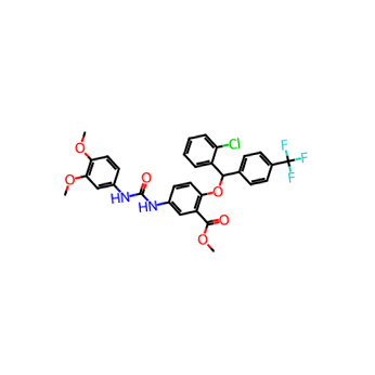 COC(=O)c1cc(NC(=O)Nc2ccc(OC)c(OC)c2)ccc1OC(c1ccc(C(F)(F)F)cc1)c1ccccc1Cl